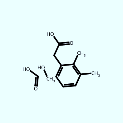 CO.Cc1cccc(CC(=O)O)c1C.O=CO